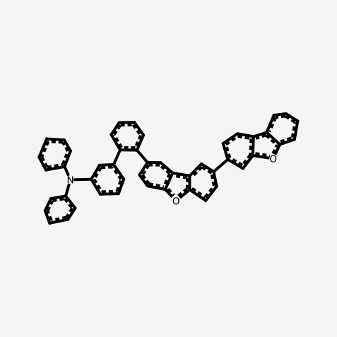 c1ccc(N(c2ccccc2)c2cccc(-c3ccccc3-c3ccc4oc5ccc(-c6ccc7c(c6)oc6ccccc67)cc5c4c3)c2)cc1